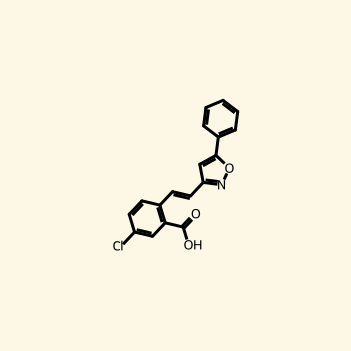 O=C(O)c1cc(Cl)ccc1/C=C/c1cc(-c2ccccc2)on1